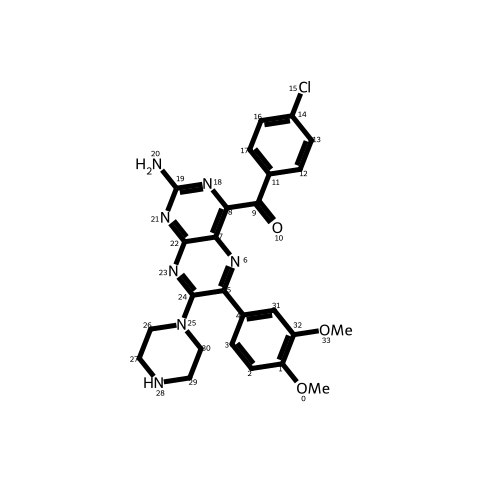 COc1ccc(-c2nc3c(C(=O)c4ccc(Cl)cc4)nc(N)nc3nc2N2CCNCC2)cc1OC